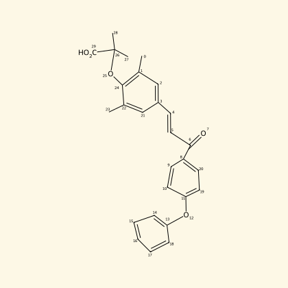 Cc1cc(C=CC(=O)c2ccc(Oc3ccccc3)cc2)cc(C)c1OC(C)(C)C(=O)O